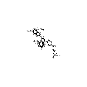 CCN(C)C/C=C/C(=O)N1CCC(n2cc(-c3cc4cc(C)cc(OC)c4s3)c3c(N)ncnc32)C1